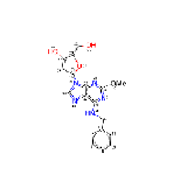 COc1nc(NCc2ccccc2)c2ncn([C@H]3C[C@H](O)C(CO)O3)c2n1